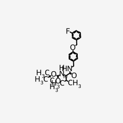 CC(C)[C@@H](NC(=O)OC(C)(C)C)C(=O)NCc1ccc(OCc2cccc(F)c2)cc1